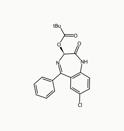 CC(C)(C)C(=O)O[C@@H]1N=C(c2ccccc2)c2cc(Cl)ccc2NC1=O